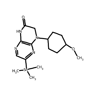 COC1CCC(N2CC(=O)Nc3nc[c]([Sn]([CH3])([CH3])[CH3])nc32)CC1